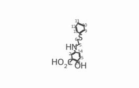 O=C(O)c1cc(NCCSc2ccccc2)ccc1O